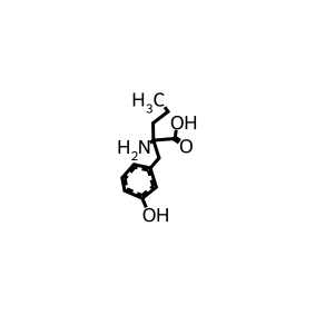 CCCC(N)(Cc1cccc(O)c1)C(=O)O